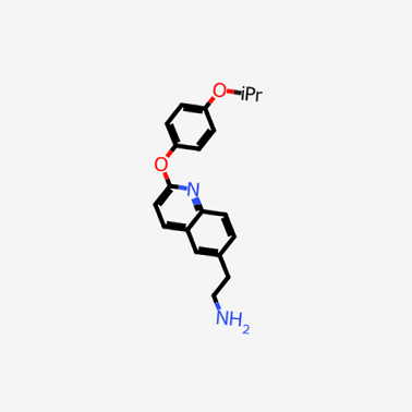 CC(C)Oc1ccc(Oc2ccc3cc(CCN)ccc3n2)cc1